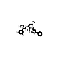 COC(=O)CC(NC(=O)C(O)c1cc(F)cc(F)c1)C(=O)Nc1cc(-c2ccccc2)n[nH]1